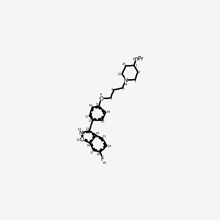 CCCC1CCN(CCCOc2ccc(-c3noc4cc(F)ccc34)cc2)CC1